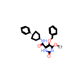 CCOc1nc(=O)[nH]c(C(=O)N[C@H]2CC[C@@H](c3ccccc3)CC2)c1OCc1ccccc1